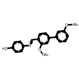 CCCCOc1cccc(-c2ccc(/C=N/c3ccc(O)cc3)c(OCCCC)c2)c1